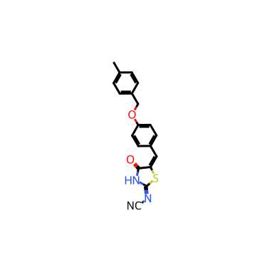 Cc1ccc(COc2ccc(C=C3SC(=NC#N)NC3=O)cc2)cc1